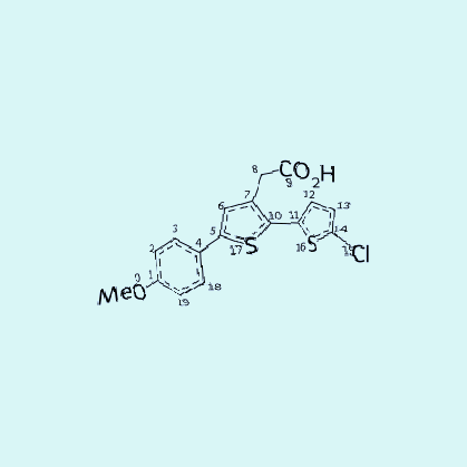 COc1ccc(-c2cc(CC(=O)O)c(-c3ccc(Cl)s3)s2)cc1